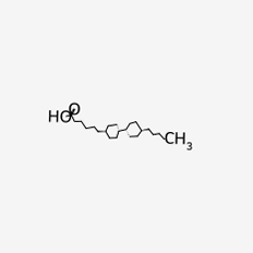 CCCCC[C@H]1CC[C@H]([C@H]2CC[C@H](CCCCCC(=O)O)CC2)CC1